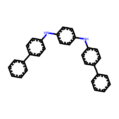 c1ccc(-c2ccc(Nc3ccc(Nc4ccc(-c5ccccc5)cc4)cc3)cc2)cc1